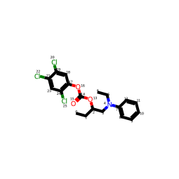 CCC(CN(CC)c1ccccc1)OC(=O)Oc1cc(Cl)c(Cl)cc1Cl